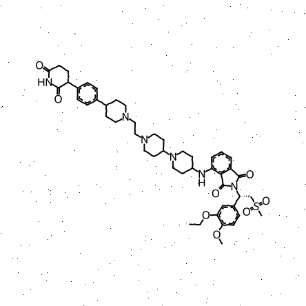 CCOc1cc([C@@H](CS(C)(=O)=O)N2C(=O)c3cccc(NC4CCN(C5CCN(CCN6CCC(c7ccc(C8CCC(=O)NC8=O)cc7)CC6)CC5)CC4)c3C2=O)ccc1OC